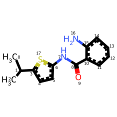 CC(C)c1ccc(NC(=O)c2ccccc2N)s1